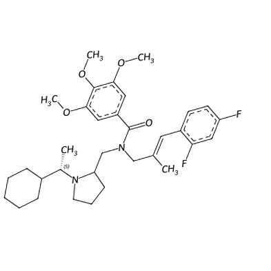 COc1cc(C(=O)N(CC(C)=Cc2ccc(F)cc2F)CC2CCCN2[C@@H](C)C2CCCCC2)cc(OC)c1OC